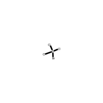 ClS(Cl)(Cl)Br